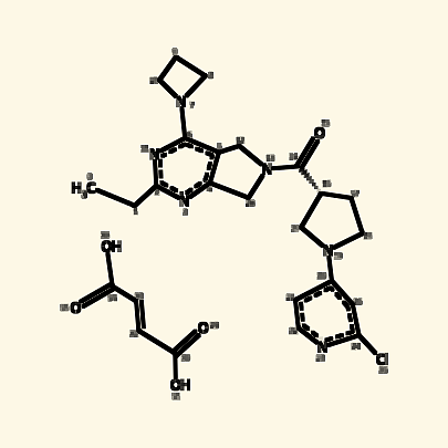 CCc1nc2c(c(N3CCC3)n1)CN(C(=O)[C@@H]1CCN(c3ccnc(Cl)c3)C1)C2.O=C(O)/C=C/C(=O)O